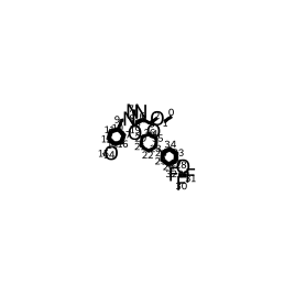 CCOC(=O)c1nnn(Cc2ccc(OC)cc2)c1O[C@H]1CC[C@@H](c2ccc(OC(F)(F)F)cc2)CC1